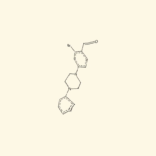 O=Cc1ccc(N2CCN(c3ccccc3)CC2)cc1Br